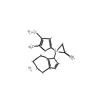 CC1=C(C)C[C]([Zr+2]2([CH]3C=CC4=C3CCCC4)[CH2][CH]2C)=C1.[Cl-].[Cl-]